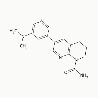 CN(C)c1cncc(-c2cnc3c(c2)CCCN3C(N)=O)c1